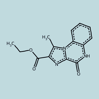 CCOC(=O)c1nc2c(=O)[nH]c3ccccc3n2c1C